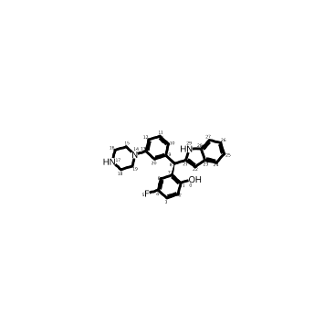 Oc1ccc(F)cc1[C@@H](c1c[c]cc(N2CCNCC2)c1)c1cc2ccccc2[nH]1